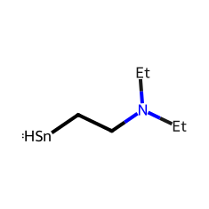 CCN(CC)C[CH2][SnH]